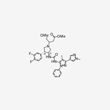 COCC(CC(=O)OC)N1C[C@@H](NC(=O)Nc2c(C)c(-c3cnn(C)c3)nn2-c2ccccc2)[C@H](c2ccc(F)c(F)c2)C1